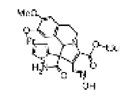 COc1cc2c(cc1OC(C)C)C1N(CC2)C(C(=O)OC(C)(C)C)=C(C=NO)C1(C(N)=O)c1cccs1